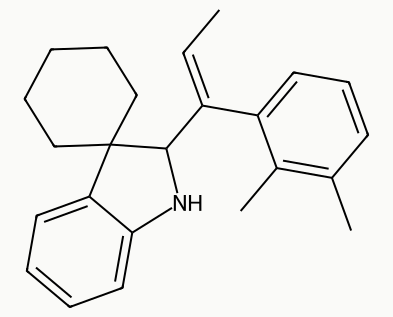 C/C=C(\c1cccc(C)c1C)C1Nc2ccccc2C12CCCCC2